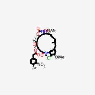 COc1cc2cc(c1Cl)N(C)C(=O)C[C@H](OC(=O)Cc1ccc(C(C)=O)c([N+](=O)[O-])c1)[C@]1(C)O[C@H]1[C@H](C)[C@@H]1C[C@@](O)(NC(=O)O1)[C@H](OC)/C=C/C=C(\C)C2